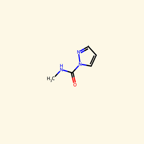 CNC(=O)n1cc[c]n1